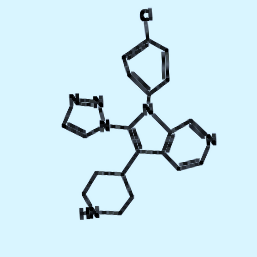 Clc1ccc(-n2c(-n3ccnn3)c(C3CCNCC3)c3ccncc32)cc1